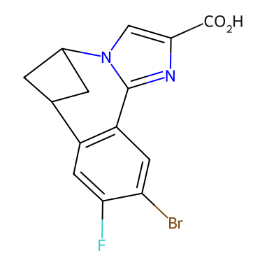 O=C(O)c1cn2c(n1)-c1cc(Br)c(F)cc1C1CC2C1